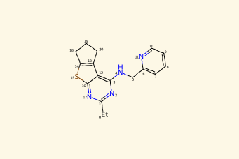 CCc1nc(NCc2ccccn2)c2c3c(sc2n1)CCC3